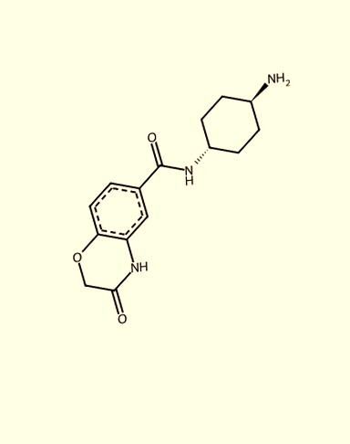 N[C@H]1CC[C@H](NC(=O)c2ccc3c(c2)NC(=O)CO3)CC1